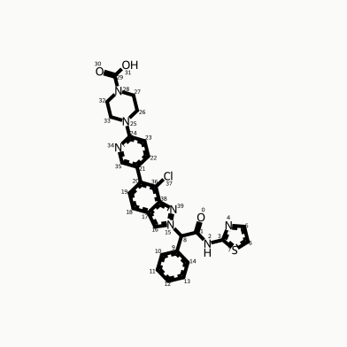 O=C(Nc1nccs1)C(c1ccccc1)n1cc2ccc(-c3ccc(N4CCN(C(=O)O)CC4)nc3)c(Cl)c2n1